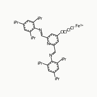 CC(C)c1cc(C(C)C)c(N=Cc2cc(Cl)cc(C=Nc3c(C(C)C)cc(C(C)C)cc3C(C)C)n2)c(C(C)C)c1.[Cl-].[Cl-].[Cl-].[Fe+3]